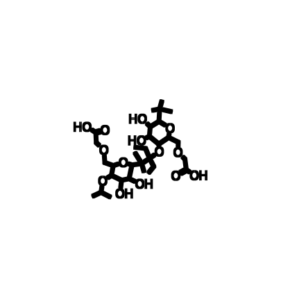 CCC(CC)(OC1C(COCC(=O)O)OC(C(C)(C)C)C(O)C1O)C(C)(C)C1OC(COCC(=O)O)C(OC(C)C)C(O)C1O